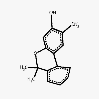 Cc1cc2c(cc1O)OC(C)(C)c1ccccc1-2